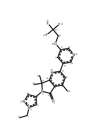 CCn1cc(N2C(=O)c3c(C)cc(-c4cncc(OCC(F)(F)F)c4)nc3C2(C)C)cn1